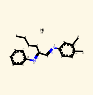 CCCCC(/C=N/c1ccc(C)c(C)c1)=N\c1ccccc1.[Ni]